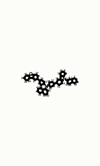 c1ccc2cc(-n3c4ccccc4c4cc(-c5ccc(N(c6ccc(-c7ccc8oc9ccccc9c8c7)cc6)c6cccc7ccccc67)cc5)ccc43)ccc2c1